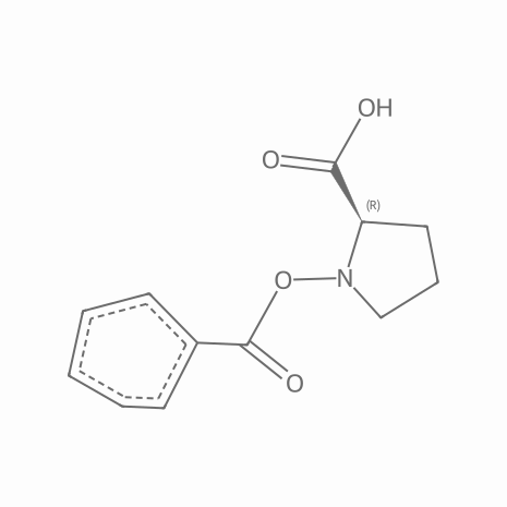 O=C(ON1CCC[C@@H]1C(=O)O)c1ccccc1